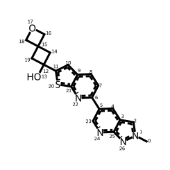 Cn1cc2cc(-c3ccc4cc(C5(O)CC6(COC6)C5)sc4n3)cnc2n1